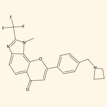 Cn1c(C(F)(F)F)nc2ccc3c(=O)cc(-c4ccc(CN5CCC5)cc4)oc3c21